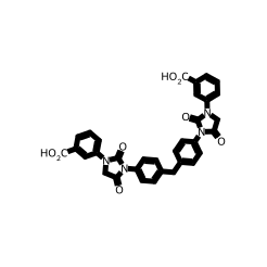 O=C(O)c1cccc(N2CC(=O)N(c3ccc(Cc4ccc(N5C(=O)CN(c6cccc(C(=O)O)c6)C5=O)cc4)cc3)C2=O)c1